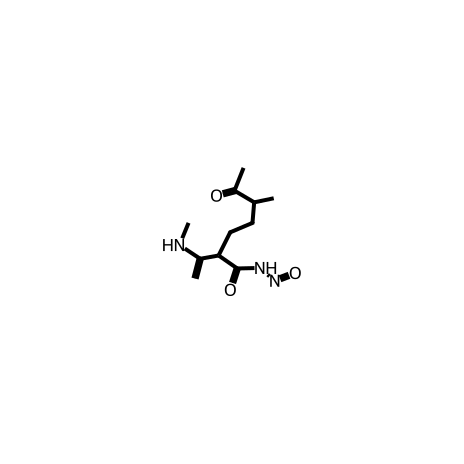 C=C(NC)C(CCC(C)C(C)=O)C(=O)NN=O